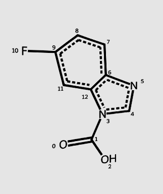 O=C(O)n1cnc2ccc(F)cc21